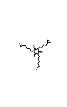 C=CCCCCn1c(=O)n(CCCCC2CO2)c(=O)n(CCCCC2CO2)c1=O